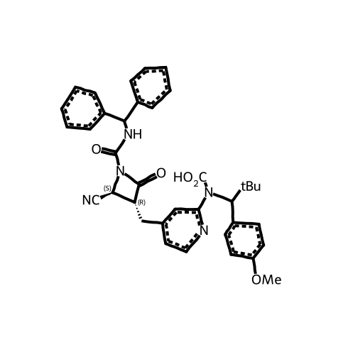 COc1ccc(C(N(C(=O)O)c2cc(C[C@H]3C(=O)N(C(=O)NC(c4ccccc4)c4ccccc4)[C@@H]3C#N)ccn2)C(C)(C)C)cc1